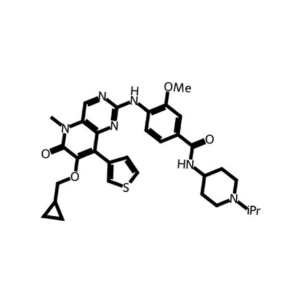 COc1cc(C(=O)NC2CCN(C(C)C)CC2)ccc1Nc1ncc2c(n1)c(-c1ccsc1)c(OCC1CC1)c(=O)n2C